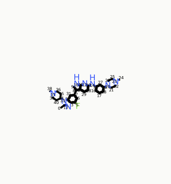 Cc1nc2c(F)cc(-c3c[nH]c4nc(Nc5cccc(N6CCN(C)CC6)c5)ccc34)cc2n1C1CCN(C)CC1